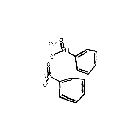 O=[PH]([O-])c1ccccc1.O=[PH]([O-])c1ccccc1.[Co+2]